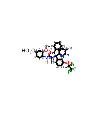 O=C(Nc1ccc(C(=O)O)cc1OC(F)(F)F)N[C@@](Cc1ccccc1)(c1cccc(OC(F)(F)C(F)F)c1)c1ccc(I)cn1